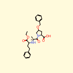 CCOC(=O)C(CCc1ccccc1)N[C@@H](C)C(=O)N1CC(OCc2ccccc2)CC1C(=O)O